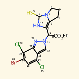 CCOC(=O)C(C1=C2CCCN2C(S)N1)n1cc2c(Cl)cc(Br)c(Cl)c2n1